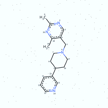 Cc1ncc(CN2CCC(c3cccnc3)CC2)c(C)n1